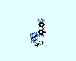 Cc1cc(Nc2ncnc3cnc(N4CCC4C(F)(F)F)nc23)ccc1Oc1ccc2c(c1)ncn2C